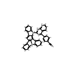 N#Cc1ccc(-c2nc(-n3c4ccccc4c4cc5c6ccccc6n6c7ccccc7c(c43)c56)nc3ncccc23)cc1